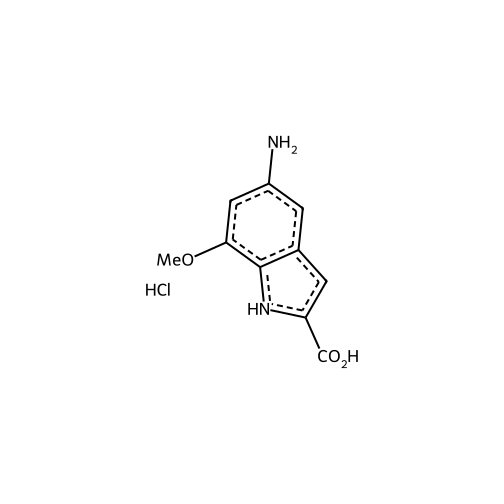 COc1cc(N)cc2cc(C(=O)O)[nH]c12.Cl